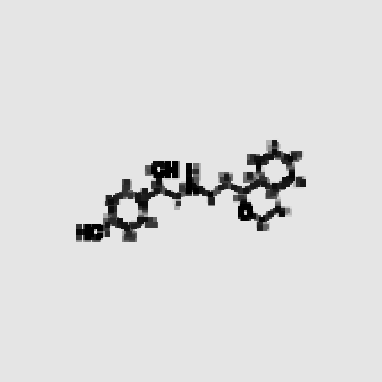 Oc1ccc(C(O)CNCCC2OCCc3ccccc32)cc1